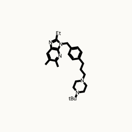 CCc1nc2cc(C)c(C)nc2n1Cc1ccc(CCCN2CCN(C(C)(C)C)CC2)cc1